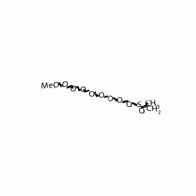 C=C(C)C(=O)SCCOCCOCCOCCOCCOCCOCCOCCOCCOC